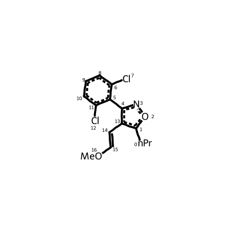 CCCc1onc(-c2c(Cl)cccc2Cl)c1C=COC